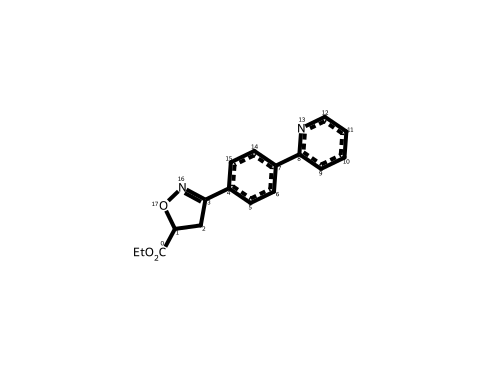 CCOC(=O)C1CC(c2ccc(-c3ccccn3)cc2)=NO1